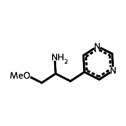 COCC(N)Cc1cncnc1